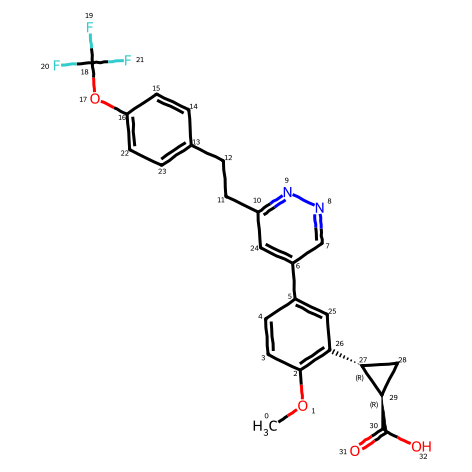 COc1ccc(-c2cnnc(CCc3ccc(OC(F)(F)F)cc3)c2)cc1[C@@H]1C[C@H]1C(=O)O